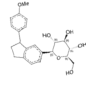 COc1ccc(C2CCc3ccc([C@@H]4O[C@H](CO)[C@@H](O)[C@H](O)[C@H]4O)cc32)cc1